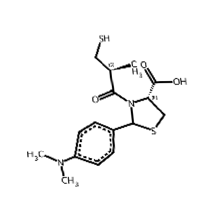 C[C@H](CS)C(=O)N1C(c2ccc(N(C)C)cc2)SC[C@H]1C(=O)O